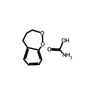 NC(=O)O.c1ccc2c(c1)CCCOO2